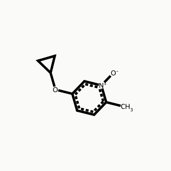 Cc1ccc(OC2CC2)c[n+]1[O-]